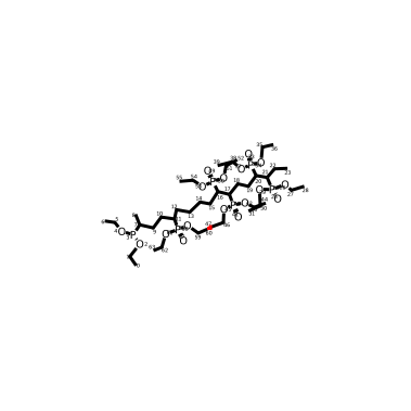 CCOP(OCC)C(C)CCC(CCCCC(C(CCC(C(CC)P(=O)(OCC)OCC)P(=O)(OCC)OCC)P(=O)(OCC)OCC)P(=O)(OCC)OCC)P(=O)(OCC)OCC